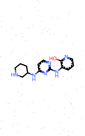 Oc1ncccc1Nc1nccc(NC2CCCNC2)n1